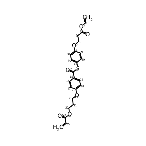 C=COC(=O)CCOc1ccc(SC(=O)c2ccc(OCCCOC(=O)C=C)cc2)cc1